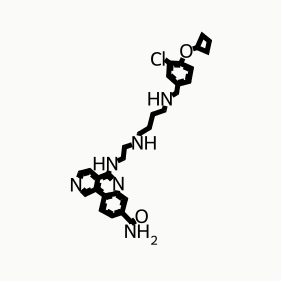 NC(=O)c1ccc2c(c1)nc(NCCNCCCCNCc1ccc(OC3CCC3)c(Cl)c1)c1ccncc12